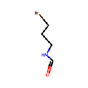 O=CNCCCBr